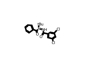 CC(C)(C)N(NC(=O)c1cc(Cl)cc(Cl)c1)C(=O)c1ccccc1